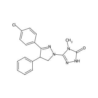 Cn1c(N2CC(c3ccccc3)C(c3ccc(Cl)cc3)=N2)n[nH]c1=O